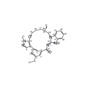 CCc1cc2cc(n1)-c1cnn(C)c1OCCC[C@@H](C)CN1/C(=N/C2=O)Nc2ccccc21